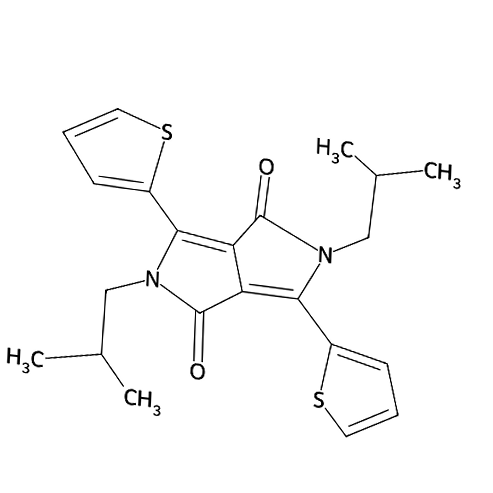 CC(C)CN1C(=O)C2=C(c3cccs3)N(CC(C)C)C(=O)C2=C1c1cccs1